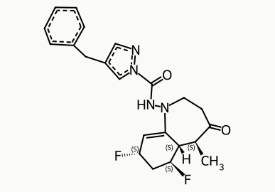 C[C@@H]1C(=O)CCN(NC(=O)n2cc(Cc3ccccc3)cn2)C2=C[C@@H](F)C[C@H](F)[C@H]21